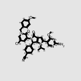 COc1ccc(Cn2cc(Cl)cc(N3C(=O)c4cc(-c5cnc(N)nc5OC)n(C(C)C)c4C3c3ccc(C#N)cc3)c2=O)cc1